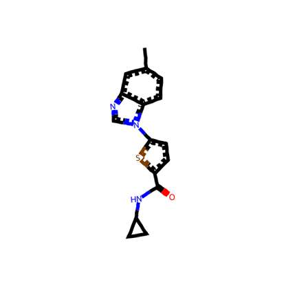 Cc1ccc2c(c1)ncn2-c1ccc(C(=O)NC2CC2)s1